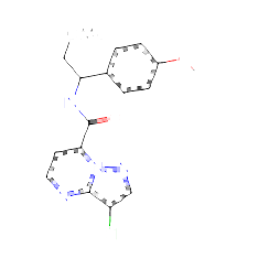 COCC(NC(=O)c1ccnc2c(Cl)cnn12)c1ccc(OC(F)(F)F)cc1